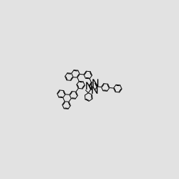 CC1(c2nc(-c3ccc(-c4ccccc4)cc3)nc(-c3cccc(-c4ccc5ccccc5c4-c4cccc(-c5ccc6c7ccccc7c7ccccc7c6c5)c4)c3)n2)C=CC=CC1